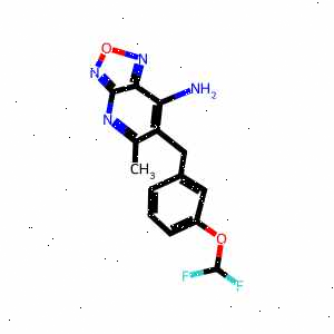 Cc1nc2nonc2c(N)c1Cc1cccc(OC(F)F)c1